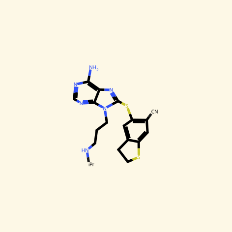 CC(C)NCCCn1c(Sc2cc3c(cc2C#N)SCC3)nc2c(N)ncnc21